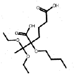 CCCCOC(CCCC(=O)O)(C(=O)O)C(C)(OCC)OCC